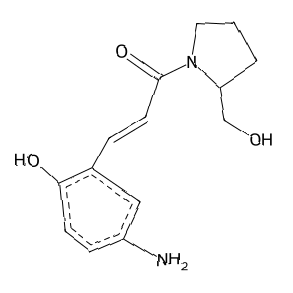 Nc1ccc(O)c(C=CC(=O)N2CCCC2CO)c1